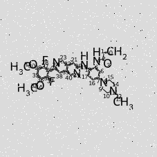 C=CC(=O)Nc1cc(N2CCN(CC)CC2)ccc1Nc1cc2cnc(-c3c(F)c(OC)cc(OC)c3F)cc2cn1